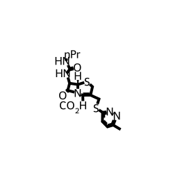 CCCNC(=O)NC1C(=O)N2C(C(=O)O)=C(CSc3ccc(C)nn3)CS[C@@H]12